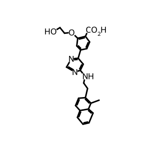 Cc1c(CCNc2cc(-c3ccc(C(=O)O)c(OCCO)c3)ncn2)ccc2ccccc12